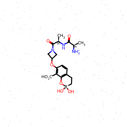 C[C@@H]([NH3+])C(=O)N[C@H](C)C(=O)N1CC(Oc2ccc3c(c2C(=O)O)O[B-](O)(O)CC3)C1